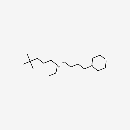 CO[C@@H](CCCCN1CCSCC1)CCCC(C)(C)C